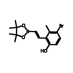 Cc1c(Br)ccc(O)c1C=CB1OC(C)(C)C(C)(C)O1